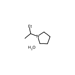 CCC(C)N1CCCC1.O